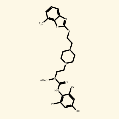 CCCCCCCN(CCN1CCN(CCSc2nc3cccc(C(F)(F)F)c3o2)CC1)C(=O)Nc1c(C(C)C)cc(O)cc1C(C)C